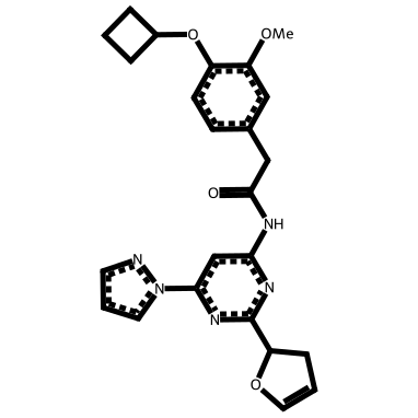 COc1cc(CC(=O)Nc2cc(-n3cccn3)nc(C3CC=CO3)n2)ccc1OC1CCC1